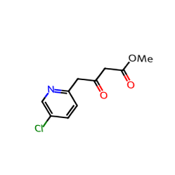 COC(=O)CC(=O)Cc1ccc(Cl)cn1